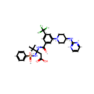 CC(C)(C)C(CC(=O)O)(NC(=O)c1cc(N2CCC(Nc3ncccn3)CC2)cc(C(F)(F)F)c1)NS(=O)(=O)c1ccccc1